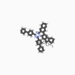 CC1(C)c2ccccc2-c2cc(-c3cc4ccccc4cc3-c3nc(-c4ccc(-c5ccccc5)cc4)nc(-c4ccc(-c5ccccc5)cc4)n3)ccc21